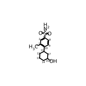 Cc1cc(S(N)(=O)=O)ccc1C1CCCC(O)C1